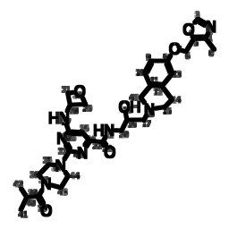 Cc1ncoc1COc1ccc2c(c1)CCN(CC(O)CNC(=O)c1cc(NC3COC3)nc(N3CCN(C(=O)C(C)C)CC3)n1)C2